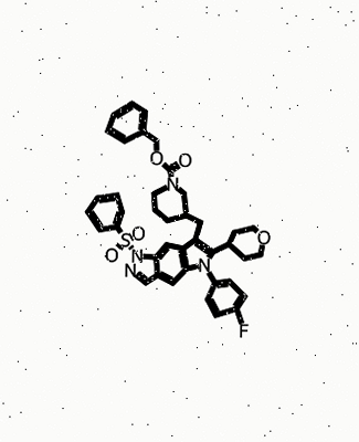 O=C(OCc1ccccc1)N1CCCC(Cc2c(C3CCOCC3)n(-c3ccc(F)cc3)c3cc4cnn(S(=O)(=O)c5ccccc5)c4cc23)C1